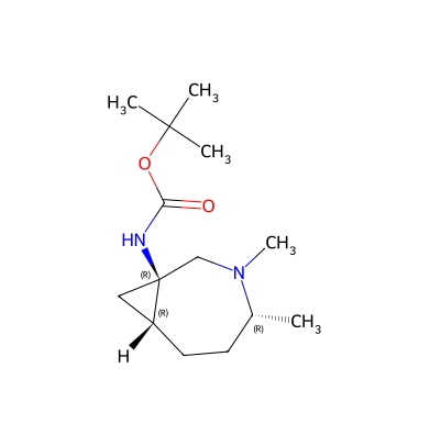 C[C@@H]1CC[C@@H]2C[C@]2(NC(=O)OC(C)(C)C)CN1C